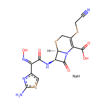 N#CCSC1=C(C(=O)O)N2C(=O)[C@@H](NC(=O)/C(=N\O)c3csc(N)n3)[C@H]2SC1.[NaH]